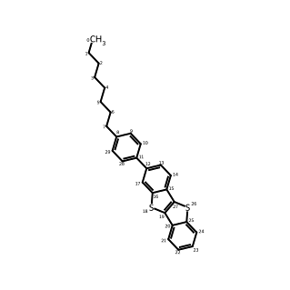 CCCCCCCCc1ccc(-c2ccc3c(c2)sc2c4ccccc4sc32)cc1